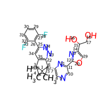 CC1(C)[C@H]2CC[C@]1(c1cncc(-c3nc(C(O)CO)co3)n1)c1nnc(-c3c(F)cccc3F)cc12